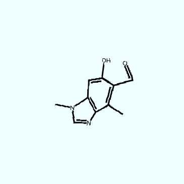 Cc1c(C=O)c(O)cc2c1ncn2C